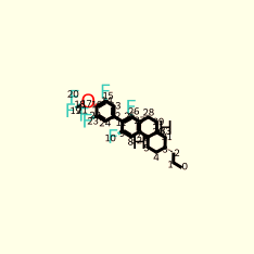 CCC[C@@H]1CC[C@@H]2c3cc(F)c(-c4cc(F)c(OC(F)(F)F)c(F)c4)c(F)c3CC[C@@H]2C1